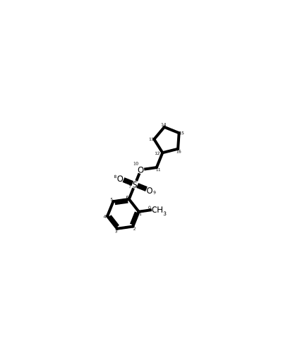 Cc1ccccc1S(=O)(=O)OCC1CCCC1